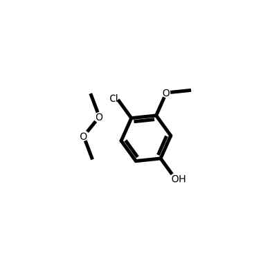 COOC.COc1cc(O)ccc1Cl